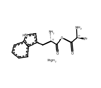 CC(C)[C@H](N)C(=O)OC(=O)[C@@H](N)Cc1c[nH]c2ccccc12.[MgH2]